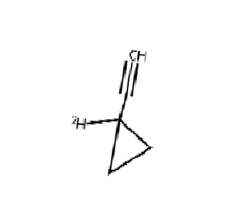 [2H]C1(C#C)CC1